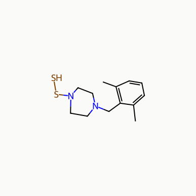 Cc1cccc(C)c1CN1CCN(SS)CC1